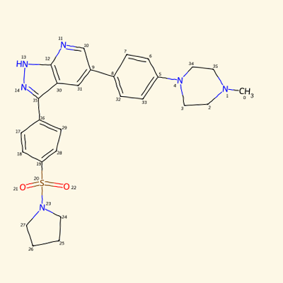 CN1CCN(c2ccc(-c3cnc4[nH]nc(-c5ccc(S(=O)(=O)N6CCCC6)cc5)c4c3)cc2)CC1